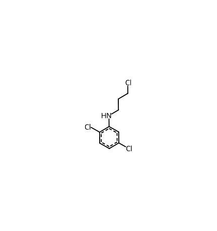 ClCCCNc1cc(Cl)ccc1Cl